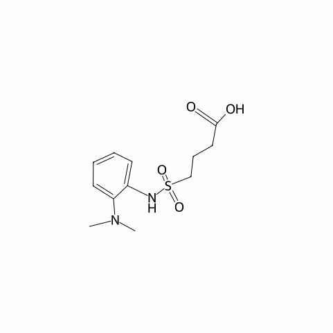 CN(C)c1ccccc1NS(=O)(=O)CCCC(=O)O